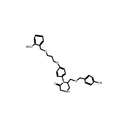 COc1ccccc1COCCCOc1ccc(N2C(=O)CNCC2COCc2ccc(C#N)cc2)cc1